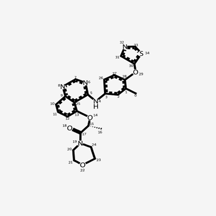 Cc1cc(Nc2ncnc3cccc(O[C@H](C)C(=O)N4CCOCC4)c23)ccc1Oc1cncs1